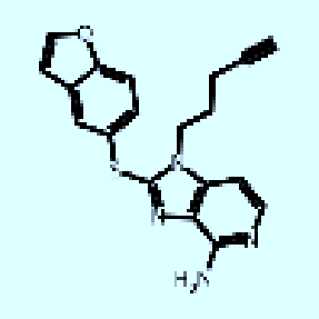 C#CCCCn1c(Sc2ccc3occc3c2)nc2c(N)nccc21